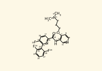 CN(C)CCCOc1ccncc1NC(=O)c1ccc(F)c(-c2c(F)cccc2F)n1